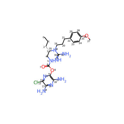 CCC[C@@H](CNC(=O)Oc1nc(Cl)c(N)nc1N)N(CCCc1ccc(OC)cc1)C(=N)N